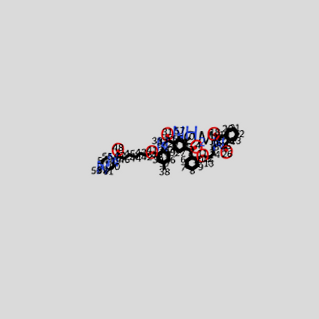 COc1c(C(=O)c2ccccc2O[C@@H](C)CCN2C(=O)c3ccccc3C2=O)ccc(C(=O)N(C)c2ccc(C)cc2OCCCCCC(=O)N2CCN(C)CC2)c1N